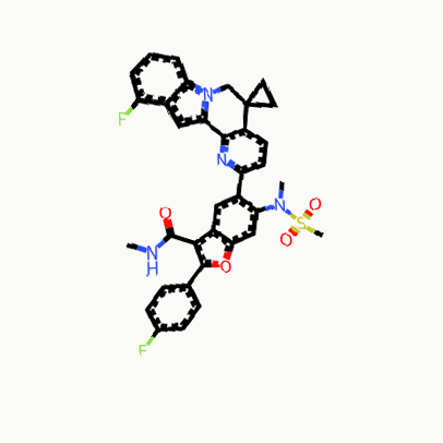 CNC(=O)c1c(-c2ccc(F)cc2)oc2cc(N(C)S(C)(=O)=O)c(-c3ccc4c(n3)-c3cc5c(F)cccc5n3CC43CC3)cc12